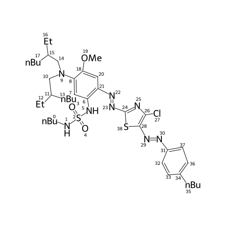 CCCCNS(=O)(=O)Nc1cc(N(CC(CC)CCCC)CC(CC)CCCC)c(OC)cc1/N=N/c1nc(Cl)c(/N=N/c2ccc(CCCC)cc2)s1